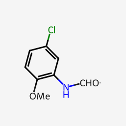 COc1ccc(Cl)cc1N[C]=O